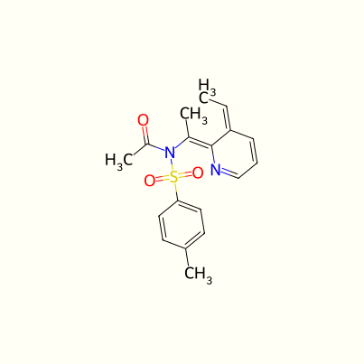 C/C=c1/cccn/c1=C(/C)N(C(C)=O)S(=O)(=O)c1ccc(C)cc1